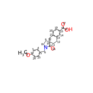 COc1ccc(CN2CCC3(CCc4cc(C(=O)O)ccc4C3)C2=O)cc1